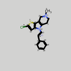 CN1CCc2c(c3sc(Cl)cc3n2/C=C/c2ccccc2)C1